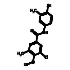 CCOc1c(C)cc(C(=O)Nc2ccc(C(C)=O)c(C)c2)cc1Cl